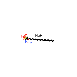 CCCCCCCCCCCCCCCCCC(=O)C(C)(CN)S(=O)(=O)O.[NaH]